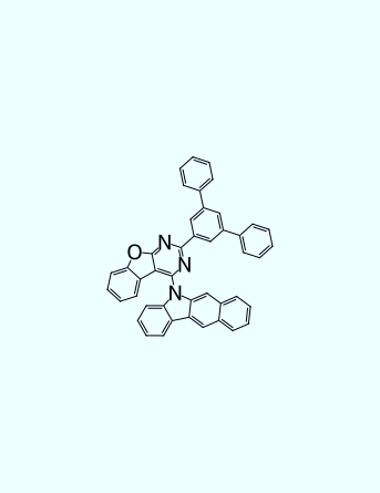 c1ccc(-c2cc(-c3ccccc3)cc(-c3nc(-n4c5ccccc5c5cc6ccccc6cc54)c4c(n3)oc3ccccc34)c2)cc1